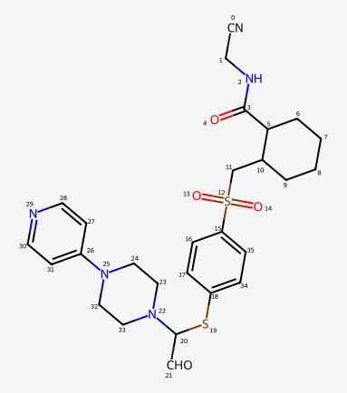 N#CCNC(=O)C1CCCCC1CS(=O)(=O)c1ccc(SC(C=O)N2CCN(c3ccncc3)CC2)cc1